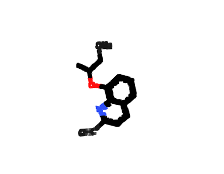 COCC(C)Oc1cccc2ccc(C=O)nc12